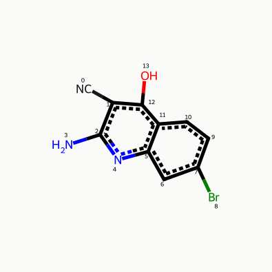 N#Cc1c(N)nc2cc(Br)ccc2c1O